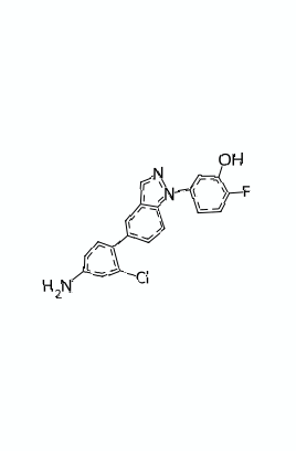 Nc1ccc(-c2ccc3c(cnn3-c3ccc(F)c(O)c3)c2)c(Cl)c1